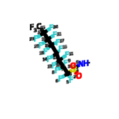 [NH]S(=O)(=O)C(F)(F)C(F)(F)C(F)(F)C(F)(F)C(F)(F)C(F)(F)C(F)(F)C(F)(F)F